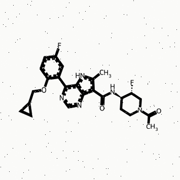 CC(=O)N1CC[C@@H](NC(=O)c2c(C)[nH]c3c(-c4cc(F)ccc4OCC4CC4)ncnc23)[C@H](F)C1